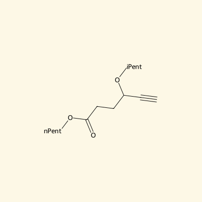 C#CC(CCC(=O)OCCCCC)OC(C)CC[CH2]